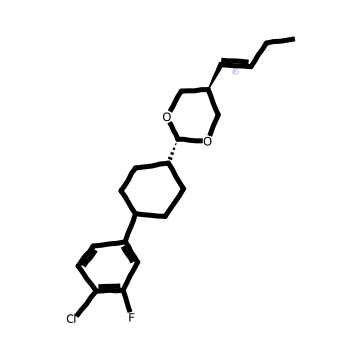 CC/C=C/[C@H]1CO[C@H](C2CCC(c3ccc(Cl)c(F)c3)CC2)OC1